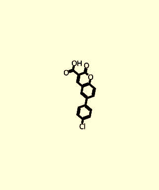 O=C(O)c1cc2cc(-c3ccc(Cl)cc3)ccc2oc1=O